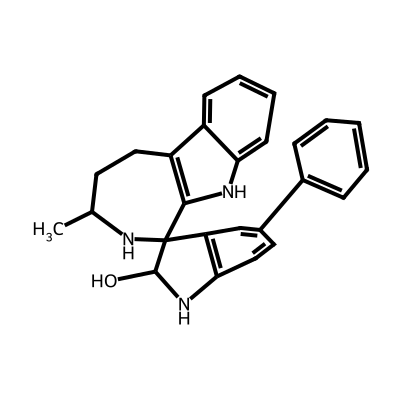 CC1CCc2c([nH]c3ccccc23)C2(N1)c1cc(-c3ccccc3)ccc1NC2O